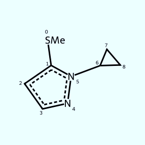 CSc1ccnn1C1CC1